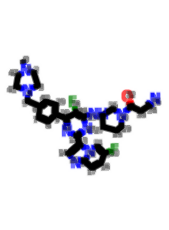 CN1CCN(Cc2ccc(-c3nc(-c4cnc5ccc(F)cn45)nc(NC4CCCN(C(=O)CC#N)C4)c3F)cc2)CC1